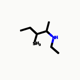 CCNC(C)C([SiH3])CC